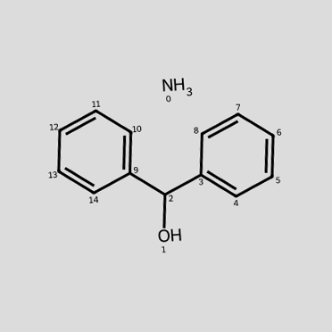 N.OC(c1ccccc1)c1ccccc1